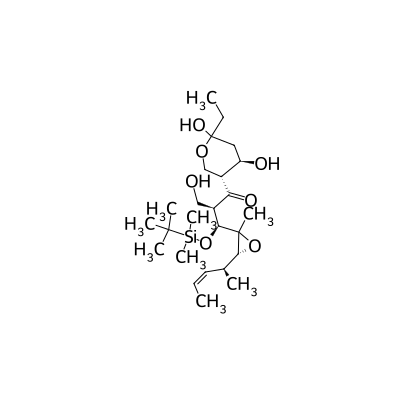 C/C=C\[C@H](C)[C@H]1OC1(C)[C@@H](O[Si](C)(C)C(C)(C)C)[C@@H](CO)C(=O)[C@@H]1COC(O)(CC)C[C@H]1O